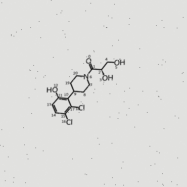 O=C([C@H](O)CO)N1CCC(c2c(O)ccc(Cl)c2Cl)CC1